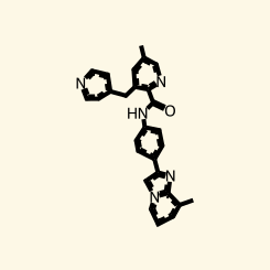 Cc1cnc(C(=O)Nc2ccc(-c3cn4cccc(C)c4n3)cc2)c(Cc2ccncc2)c1